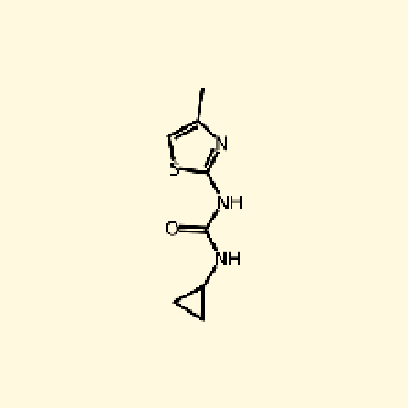 Cc1csc(NC(=O)NC2CC2)n1